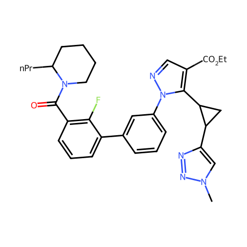 CCCC1CCCCN1C(=O)c1cccc(-c2cccc(-n3ncc(C(=O)OCC)c3C3CC3c3cn(C)nn3)c2)c1F